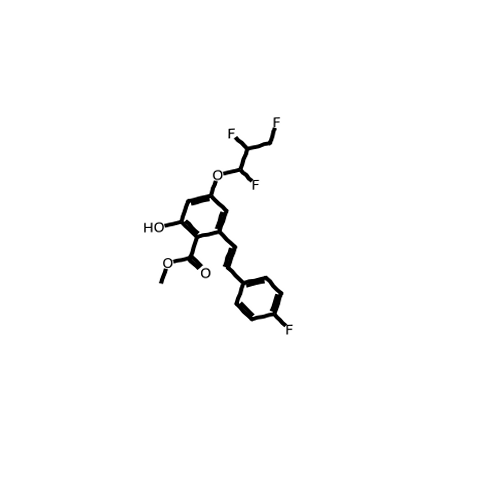 COC(=O)c1c(O)cc(OC(F)C(F)CF)cc1C=Cc1ccc(F)cc1